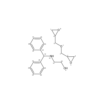 C(OCC1CO1)C1CO1.OCCNC(c1ccccc1)c1ccccc1